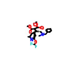 COC(=O)C(C(=O)OC)[C@H](CN(C)Cc1ccccc1)c1cc(C)nc(OC(F)F)c1